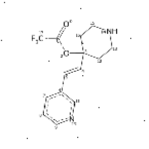 O=C(OC1(/C=C/c2cccnc2)CCNCC1)C(F)(F)F